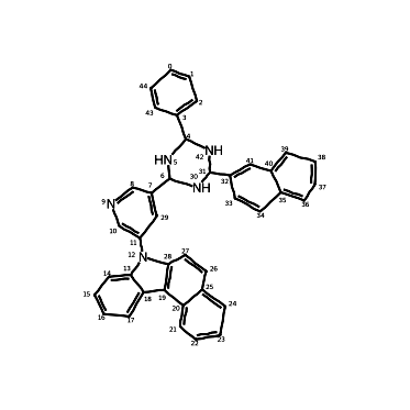 c1ccc(C2NC(c3cncc(-n4c5ccccc5c5c6ccccc6ccc54)c3)NC(c3ccc4ccccc4c3)N2)cc1